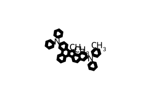 Cc1cccc(N(c2ccccc2)c2ccc3c4c(ccc3c2)-c2c(c3ccc(N(c5ccccc5)c5ccccc5)cc3c3ccccc23)C4(C)C)c1